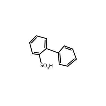 O=S(=O)(O)c1ccccc1-c1ccccc1